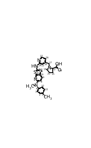 Cc1ccc(N(C)c2ccc3nc(Nc4cc(CN5CCCC5C(=O)O)ccn4)sc3n2)cc1